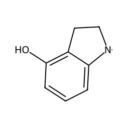 Oc1cccc2c1CC[N]2